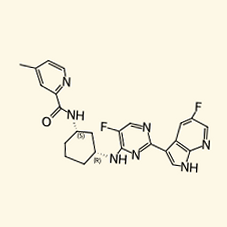 Cc1ccnc(C(=O)N[C@H]2CCC[C@@H](Nc3nc(-c4c[nH]c5ncc(F)cc45)ncc3F)C2)c1